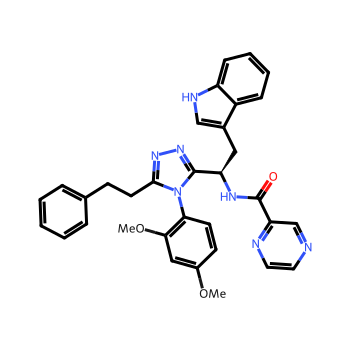 COc1ccc(-n2c(CCc3ccccc3)nnc2[C@@H](Cc2c[nH]c3ccccc23)NC(=O)c2cnccn2)c(OC)c1